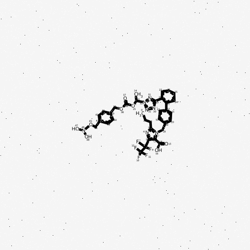 CCCc1nc(C(F)(F)C(F)(F)F)c(C(=O)O)n1Cc1ccc(-c2ccccc2-c2nnn(C(C)OC(=O)OCc3ccc(CON(O)O)cc3)n2)cc1